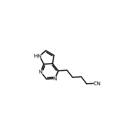 N#CCCCCc1ncnc2[nH]ccc12